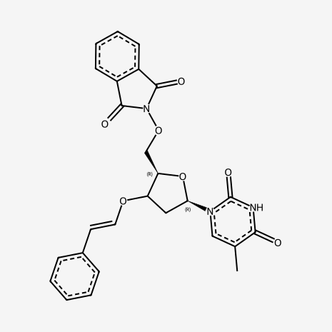 Cc1cn([C@H]2CC(OC=Cc3ccccc3)[C@@H](CON3C(=O)c4ccccc4C3=O)O2)c(=O)[nH]c1=O